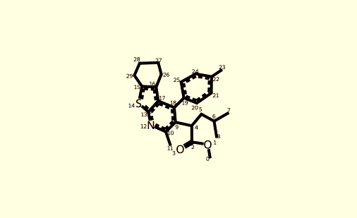 COC(=O)C(CC(C)C)c1c(C)nc2sc3c(c2c1-c1ccc(C)cc1)CCCC3